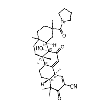 CC1(C(=O)N2CCCC2)CCC2(C)CC[C@@]3(C)[C@]4(C)CC[C@H]5C(C)(C)C(=O)C(C#N)=C[C@]5(C)C4=CC(=O)[C@]3(O)[C@@H]2C1